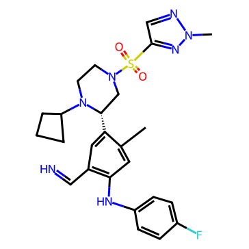 Cc1cc(Nc2ccc(F)cc2)c(C=N)cc1[C@H]1CN(S(=O)(=O)c2cnn(C)n2)CCN1C1CCC1